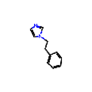 [CH](Cn1ccnc1)c1ccccc1